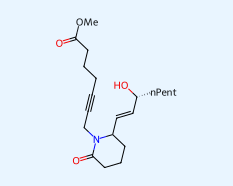 CCCCC[C@@H](O)/C=C/C1CCCC(=O)N1CC#CCCCC(=O)OC